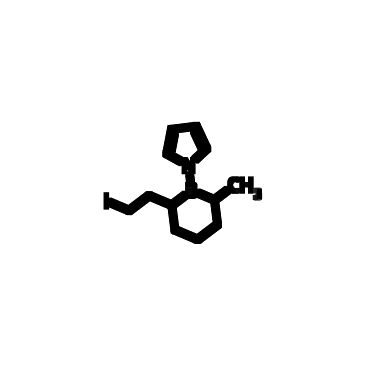 CC1CCCC(CCI)B1n1cccc1